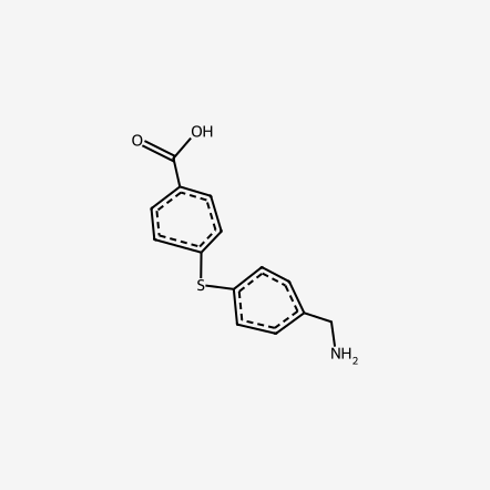 NCc1ccc(Sc2ccc(C(=O)O)cc2)cc1